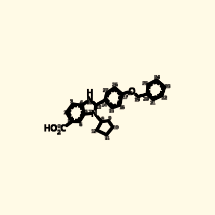 O=C(O)c1ccc2c(c1)N(C1CCCC1)C(c1ccc(OCc3ccccc3)cc1)N2